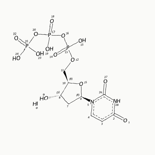 I.O=c1ccn([C@H]2C[C@H](O)[C@@H](COP(=O)(O)OP(=O)(O)OP(=O)(O)O)O2)c(=O)[nH]1